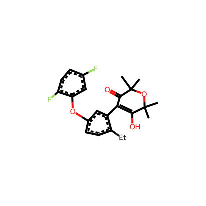 CCc1ccc(Oc2cc(F)ccc2F)cc1C1=C(O)C(C)(C)OC(C)(C)C1=O